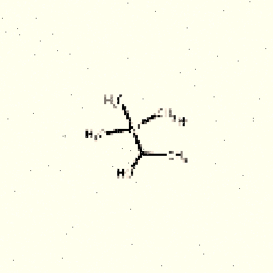 CC(O)[N+](C)(C)C.[H]